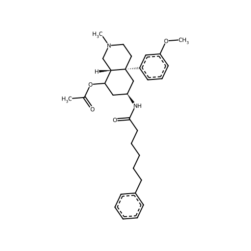 COc1cccc([C@@]23CCN(C)C[C@H]2C(OC(C)=O)C[C@H](NC(=O)CCCCCc2ccccc2)C3)c1